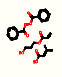 C=CC(=O)OCCCO.CC(C)=CC(=O)O.O=C(OOC(=O)c1ccccc1)c1ccccc1